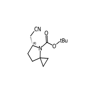 CC(C)(C)OC(=O)N1[C@@H](CC#N)CCC12CC2